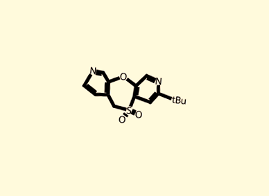 CC(C)(C)c1cc2c(cn1)Oc1cnccc1CS2(=O)=O